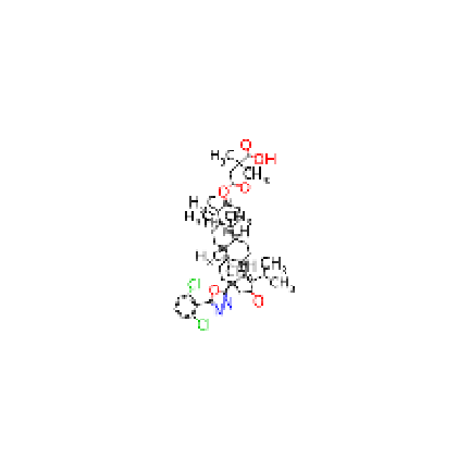 CC(C)C1=C2[C@H]3CC[C@@H]4[C@@]5(C)CC[C@H](OC(=O)CC(C)(C)C(=O)O)C(C)(C)[C@@H]5CC[C@@]4(C)[C@]3(C)CC[C@@]2(c2nnc(-c3c(Cl)cccc3Cl)o2)CC1=O